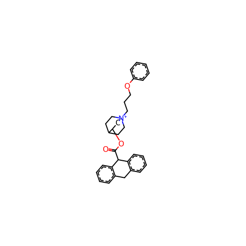 O=C(OC1C[N+]2(CCCOc3ccccc3)CCC1CC2)C1c2ccccc2Cc2ccccc21